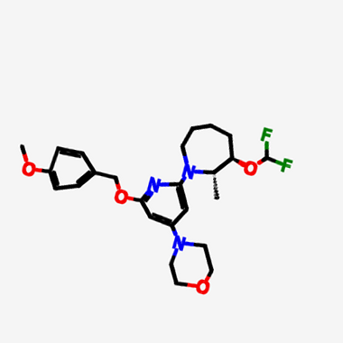 COc1ccc(COc2cc(N3CCOCC3)cc(N3CCCC[C@@H](OC(F)F)[C@@H]3C)n2)cc1